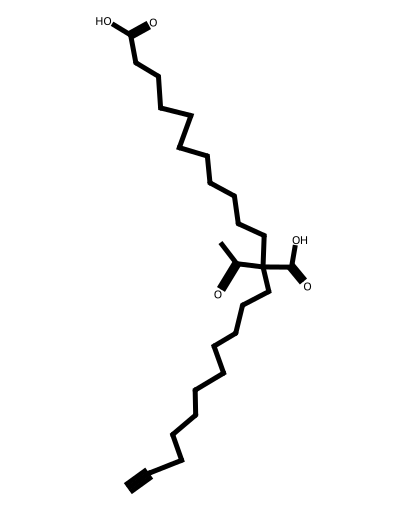 C#CCCCCCCCCCC(CCCCCCCCCCC(=O)O)(C(C)=O)C(=O)O